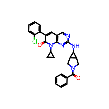 O=C(c1ccccc1)N1CC2C(C1)C2Nc1ncc2cc(-c3ccccc3Cl)c(=O)n(C3CC3)c2n1